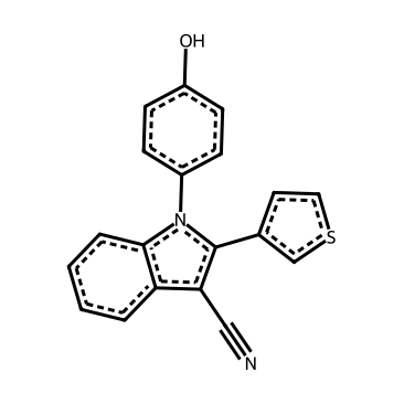 N#Cc1c(-c2ccsc2)n(-c2ccc(O)cc2)c2ccccc12